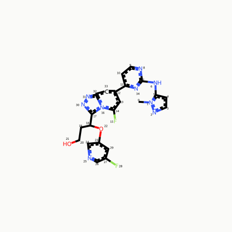 Cn1nccc1Nc1nccc(-c2cc(F)n3c(C(CCO)Oc4cncc(F)c4)nnc3c2)n1